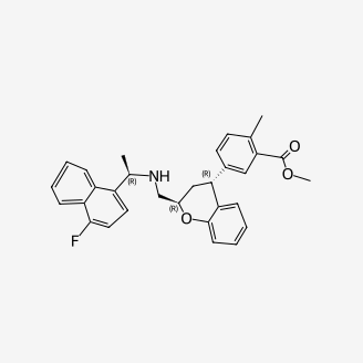 COC(=O)c1cc([C@H]2C[C@H](CN[C@H](C)c3ccc(F)c4ccccc34)Oc3ccccc32)ccc1C